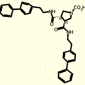 O=C(NCCc1ccc(-c2ccccc2)cc1)[C@@H]1CN(C(=O)O)C[C@H]1C(=O)NCCc1ccc(-c2ccccc2)cc1